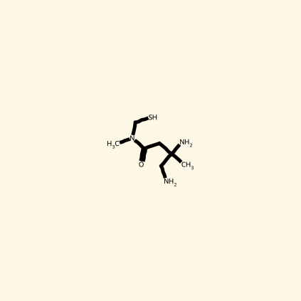 CN(CS)C(=O)CC(C)(N)CN